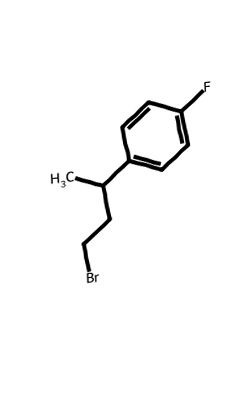 CC(CCBr)c1ccc(F)cc1